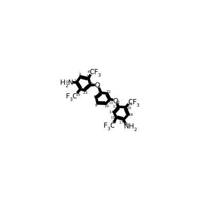 Nc1cc(C(F)(F)F)c(Oc2cccc(Oc3cc(C(F)(F)F)c(N)cc3C(F)(F)F)c2)cc1C(F)(F)F